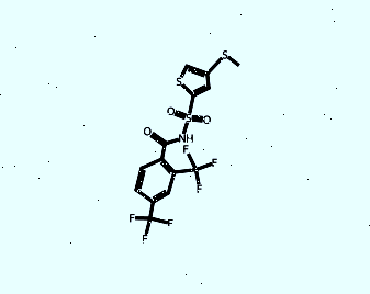 CSc1csc(S(=O)(=O)NC(=O)c2ccc(C(F)(F)F)cc2C(F)(F)F)c1